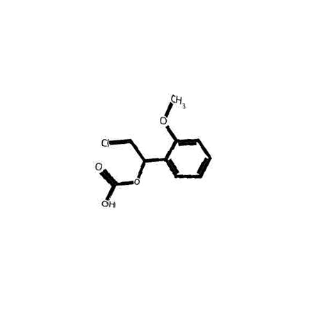 COc1ccccc1C(CCl)OC(=O)O